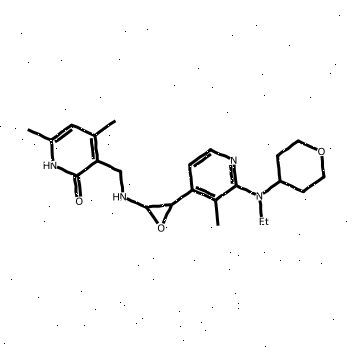 CCN(c1nccc(C2OC2NCc2c(C)cc(C)[nH]c2=O)c1C)C1CCOCC1